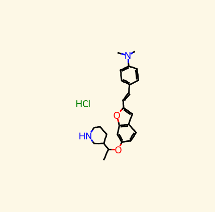 CC(Oc1ccc2cc(/C=C/c3ccc(N(C)C)cc3)oc2c1)C1CCCNC1.Cl